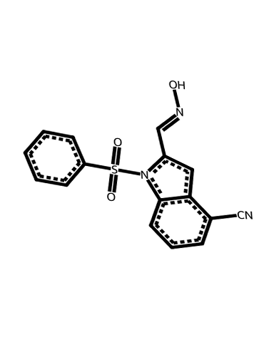 N#Cc1cccc2c1cc(C=NO)n2S(=O)(=O)c1ccccc1